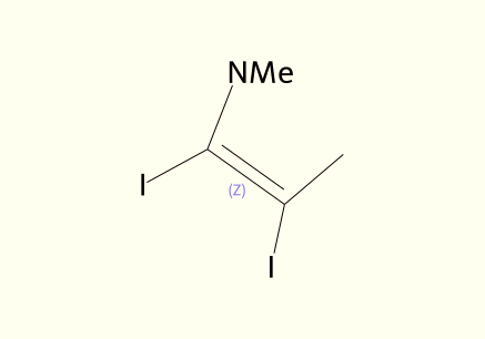 CN/C(I)=C(\C)I